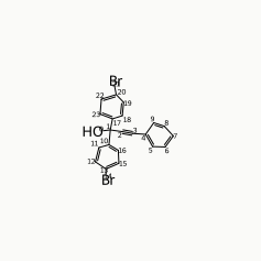 OC(C#Cc1ccccc1)(c1ccc(Br)cc1)c1ccc(Br)cc1